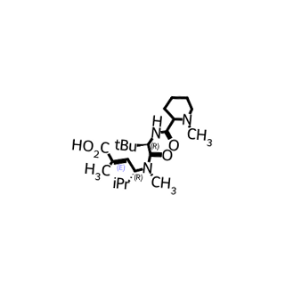 C/C(=C\[C@@H](C(C)C)N(C)C(=O)[C@H](NC(=O)C1CCCCN1C)C(C)(C)C)C(=O)O